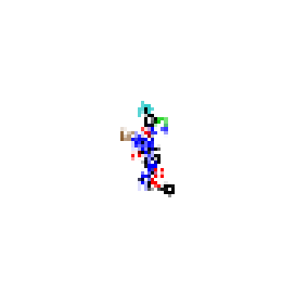 CCc1c(N2CCN(C(=O)c3ncnc(C)c3OCc3ccccc3)C3CCC32)c(=O)n2nc(Br)nc2n1CC(=O)Nc1ccc(C(F)(F)F)cc1Cl